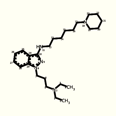 CCN(CC)CCCn1nc(NCCCCCCN2CCCCC2)c2ccccc21